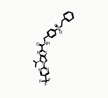 CC(C)[C@H]1c2nc(C(=O)NCc3ccc(S(=O)(=O)CCc4ccccc4)cc3)sc2CN1c1ncc(C(F)(F)F)cn1